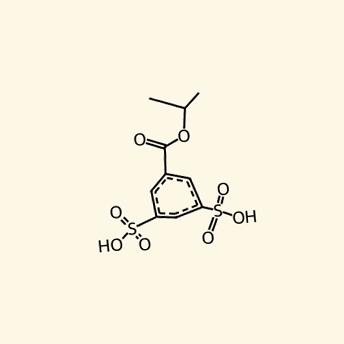 CC(C)OC(=O)c1cc(S(=O)(=O)O)cc(S(=O)(=O)O)c1